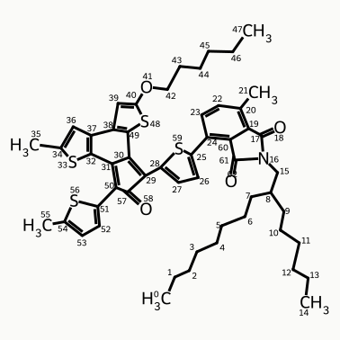 CCCCCCCCC(CCCCCC)CN1C(=O)c2c(C)ccc(-c3ccc(C4=c5c(c6sc(C)cc6c6cc(OCCCCCC)sc56)=C(c5ccc(C)s5)C4=O)s3)c2C1=O